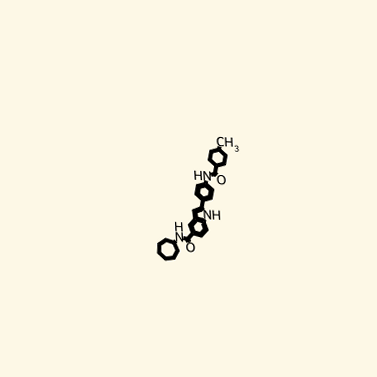 CC1CCC(C(=O)Nc2ccc(-c3cc4cc(C(=O)NC5CCCCCC5)ccc4[nH]3)cc2)CC1